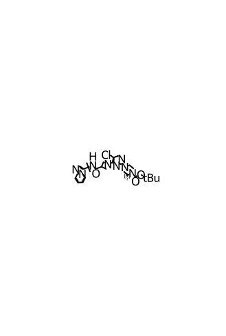 C[C@@H]1CN(c2ncc(Cl)c(N3CC(C(=O)NC(C)(C)c4cnc5ccccn45)C3)n2)CCN1C(=O)OC(C)(C)C